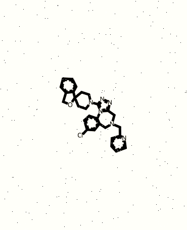 Clc1ccc2c(c1)CN(Cc1ccccn1)Cc1nnc(N3CCC4(CC3)OCc3ccccc34)n1-2